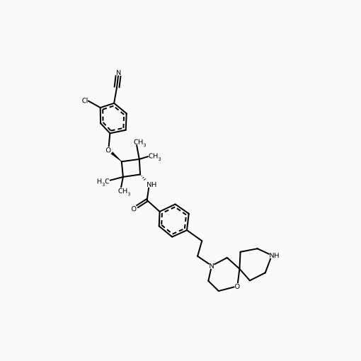 CC1(C)[C@H](NC(=O)c2ccc(CCN3CCOC4(CCNCC4)C3)cc2)C(C)(C)[C@H]1Oc1ccc(C#N)c(Cl)c1